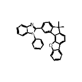 CC1(C)c2ccc(-c3nc4ccccc4n3-c3ccccc3)cc2-c2c1ccc1c2oc2ccccc21